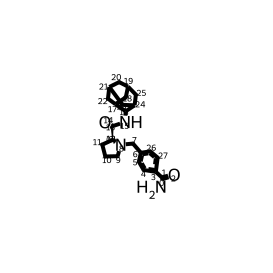 NC(=O)c1ccc(CN2CCC[C@H]2C(=O)NC2C3CC4CC(C3)CC2C4)cc1